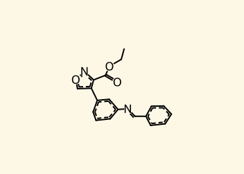 CCOC(=O)c1nocc1-c1cccc(N=Cc2ccccc2)c1